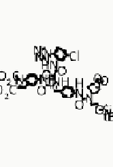 CC(C)(C)[Si](C)(C)OCCN(C(=O)Nc1ccc(C[C@H](NC(=O)C(=O)Nc2cc(Cl)ccc2-n2cnnn2)C(=O)Nc2ccc3c(c2)cc(C(=O)O)n3C(=O)O)cc1)C1CCS(=O)(=O)CC1